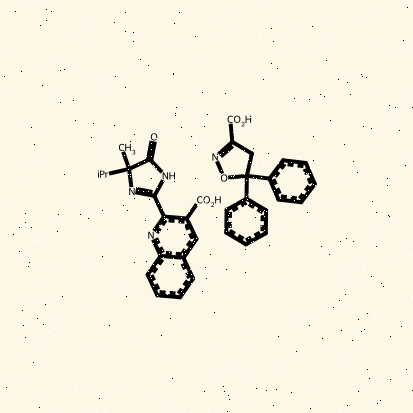 CC(C)C1(C)N=C(c2nc3ccccc3cc2C(=O)O)NC1=O.O=C(O)C1=NOC(c2ccccc2)(c2ccccc2)C1